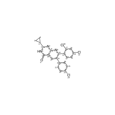 O=c1[nH]c(C2CC2)nc2nc(-c3ccc(Cl)cc3Cl)c(-c3ccc(Cl)cc3)cc12